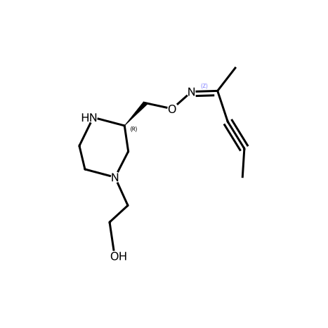 CC#C/C(C)=N\OC[C@H]1CN(CCO)CCN1